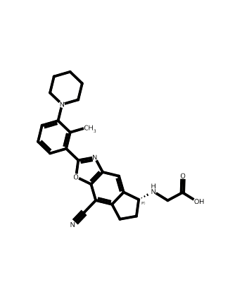 Cc1c(-c2nc3cc4c(c(C#N)c3o2)CC[C@H]4NCC(=O)O)cccc1N1CCCCC1